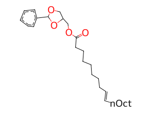 CCCCCCCC/C=C/CCCCCCCC(=O)OCC1COC(c2ccccc2)O1